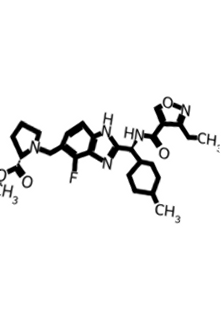 CCc1nocc1C(=O)N[C@H](c1nc2c(F)c(CN3CCC[C@H]3C(=O)OC)ccc2[nH]1)C1CCC(C)CC1